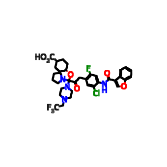 O=C(Nc1cc(F)c(CC(=O)C(O[C@H]2CC[C@H](C(=O)O)CC2)(N2CCCC2)N2CCN(CC(F)(F)F)CC2)cc1Cl)c1coc2ccccc12